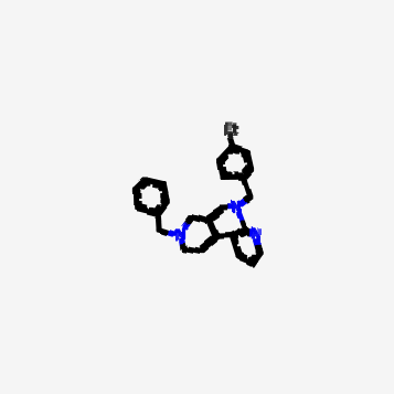 CCc1ccc(CN2C=C3CN(Cc4ccccc4)CC=C3c3cccnc32)cc1